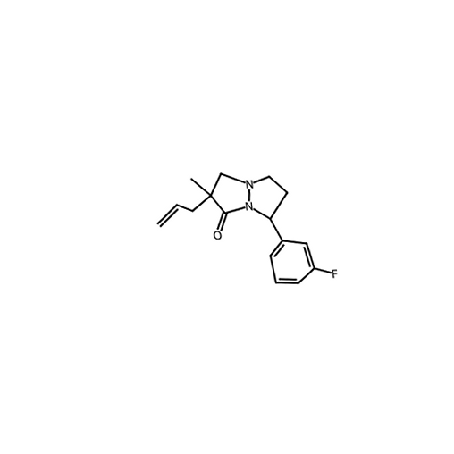 C=CCC1(C)CN2CCC(c3cccc(F)c3)N2C1=O